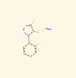 Cc1onc(-c2ccccc2Cl)c1OC=N